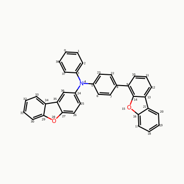 c1ccc(N(c2ccc(-c3cccc4c3oc3ccccc34)cc2)c2ccc3oc4ccccc4c3c2)cc1